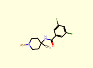 CC1(NC(=O)c2cc(F)cc(F)c2)CCN(S)CC1